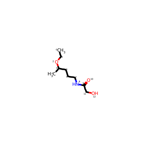 CCOC(C)CCCNC(=O)CO